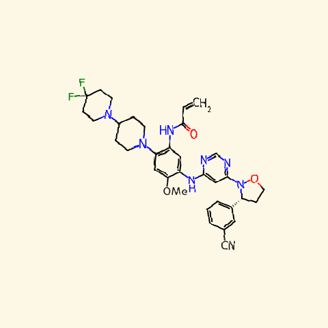 C=CC(=O)Nc1cc(Nc2cc(N3OCC[C@@H]3c3cccc(C#N)c3)ncn2)c(OC)cc1N1CCC(N2CCC(F)(F)CC2)CC1